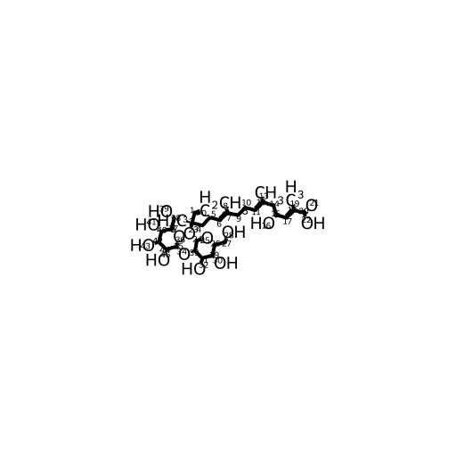 C=C[C@](C)(CC/C=C(\C)CC/C=C(\C)CC(O)/C=C(\C)C(=O)O)O[C@@H]1OC(CO)[C@@H](O)C(O)[C@@H]1O[C@@H]1OC(CO)[C@@H](O)C(O)[C@@H]1O